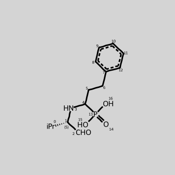 CC(C)[C@@H](C=O)NC(CCc1ccccc1)P(=O)(O)O